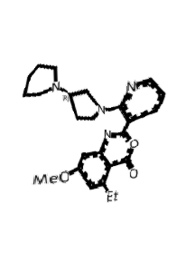 CCc1cc(OC)cc2nc(-c3cccnc3N3CC[C@@H](N4CCCCC4)C3)oc(=O)c12